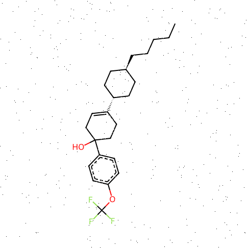 CCCCC[C@H]1CC[C@H](C2=CCC(O)(c3ccc(OC(F)(F)F)cc3)CC2)CC1